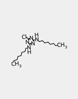 CCCCCCCCNc1nc(Cl)nc(NCCCCCCCC)n1